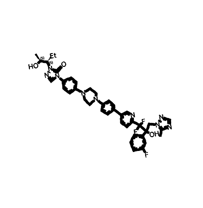 CC[C@@H]([C@H](C)O)n1ncn(-c2ccc(N3CCN(c4ccc(-c5ccc(C(F)(F)C(O)(Cn6ncnc6C)c6cccc(F)c6)nc5)cc4)CC3)cc2)c1=O